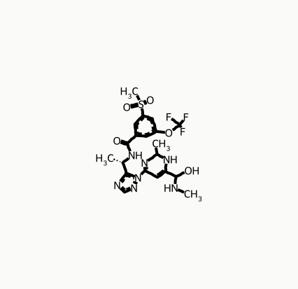 CNC(O)C1=CC(n2ncnc2[C@H](C)NC(=O)c2cc(OC(F)(F)F)cc(S(C)(=O)=O)c2)=NC(C)N1